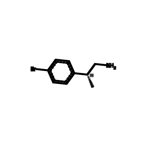 C[C@@H](CN)c1ccc(Br)cc1